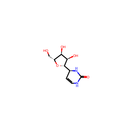 O=C1NC=C[C@@H]([C@@H]2O[C@H](CO)[C@@H](O)[C@H]2O)N1